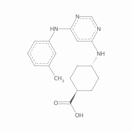 Cc1cccc(Nc2cc(N[C@H]3CC[C@H](C(=O)O)CC3)ncn2)c1